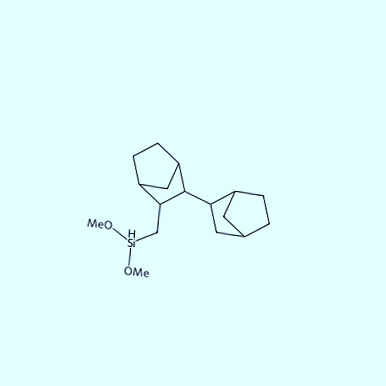 CO[SiH](CC1C2CCC(C2)C1C1CC2CCC1C2)OC